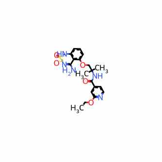 CCOc1cc(C(=O)NC(C)(C)COc2cccc3c2C(N)=NS(=O)(=O)N3)ccn1